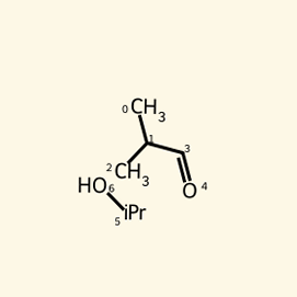 CC(C)C=O.CC(C)O